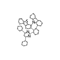 c1ccc(-c2cc(-c3ccccc3)nc(-c3cccc4c3-c3ccc5c(sc6ccccc65)c3-n3c5ccccc5c5cccc-4c53)n2)cc1